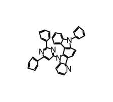 c1ccc(-c2cc(-n3c4cccnc4c4ccc5c(c6ccccc6n5-c5ccccc5)c43)nc(-c3ccccc3)n2)cc1